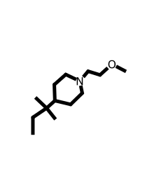 CCC(C)(C)C1CCN(CCOC)CC1